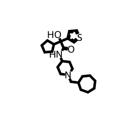 O=C(NC1CCN(CC2CCCCCC2)CC1)C(O)(c1ccsc1)C1CCCC1